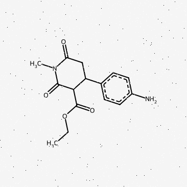 CCOC(=O)C1C(=O)N(C)C(=O)CC1c1ccc(N)cc1